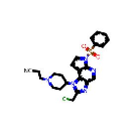 N#CCCN1CCC(n2c(CCl)nc3cnc4c(ccn4S(=O)(=O)c4ccccc4)c32)CC1